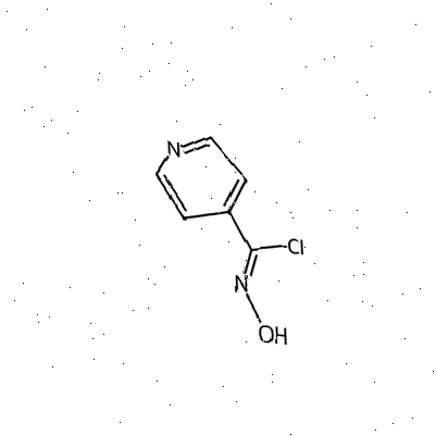 ON=C(Cl)c1ccncc1